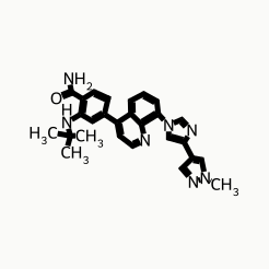 Cn1cc(-c2cn(-c3cccc4c(-c5ccc(C(N)=O)c(NC(C)(C)C)c5)ccnc34)cn2)cn1